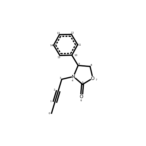 CC#CCN1C(=O)OCC1c1ccccc1